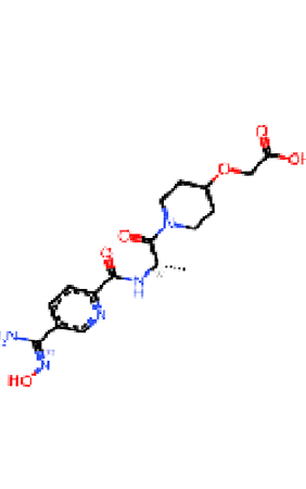 C[C@H](NC(=O)c1ccc(/C(N)=N/O)cn1)C(=O)N1CCC(OCC(=O)O)CC1